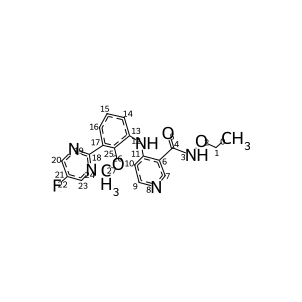 CCONC(=O)c1cnccc1Nc1cccc(-c2ncc(F)cn2)c1OC